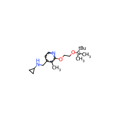 Cc1c(CNC2CC2)ccnc1OCCO[Si](C)(C)C(C)(C)C